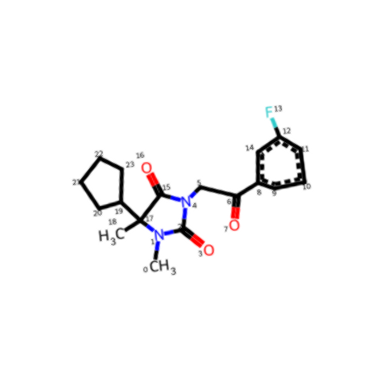 CN1C(=O)N(CC(=O)c2cccc(F)c2)C(=O)C1(C)C1CCCC1